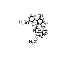 CCOC(=O)C1(c2ccon2)CN=C(Nc2c3c(cc(C)c2-c2ccnc(OC)c2)CCC3)O1